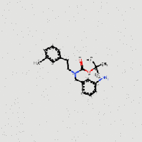 Cc1cccc(CCN(Cc2cccc(N)c2)C(=O)OC(C)(C)C)c1